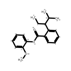 CCC(c1ccccc1C(=O)Oc1ccccc1OC)C(C)C